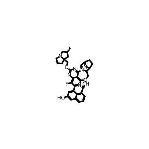 C#Cc1cccc2cc(O)cc(-c3nc4c5c(nc(OCC67CCCN6CC(F)C7)nc5c3F)N3CC5CCC(N5)C3CO4)c12